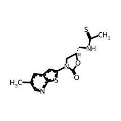 CC(=S)NC[C@H]1CN(c2cc3cc(C)cnc3s2)C(=O)O1